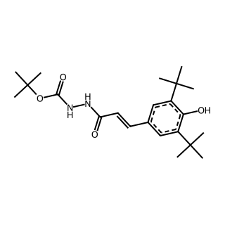 CC(C)(C)OC(=O)NNC(=O)C=Cc1cc(C(C)(C)C)c(O)c(C(C)(C)C)c1